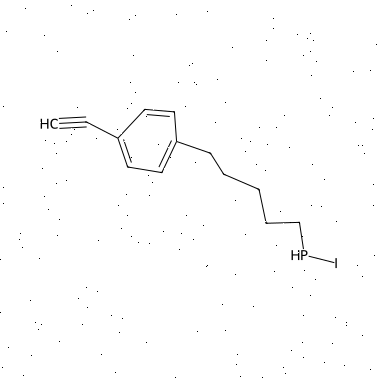 C#Cc1ccc(CCCCCPI)cc1